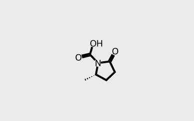 C[C@H]1CCC(=O)N1C(=O)O